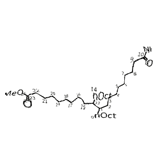 CCCCCCCCC(CCCCCCCCC(N)=O)C(CCCCCCCC)CCCCCCCCC(=O)OC